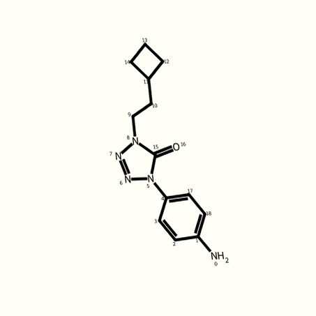 Nc1ccc(-n2nnn(CCC3CCC3)c2=O)cc1